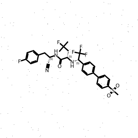 CC(C)(F)C[C@H](N[C@@H](c1ccc(-c2ccc(S(C)(=O)=O)cc2)cc1)C(F)(F)F)C(=O)N[C@H](C#N)Cc1ccc(F)cc1